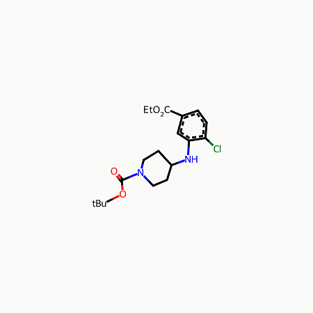 CCOC(=O)c1ccc(Cl)c(NC2CCN(C(=O)OC(C)(C)C)CC2)c1